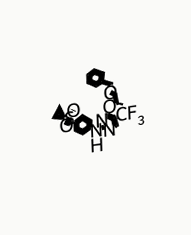 C[C@H](COCc1ccccc1)Oc1nc(Nc2ccc(S(=O)(=O)C3CC3)cc2)ncc1C(F)(F)F